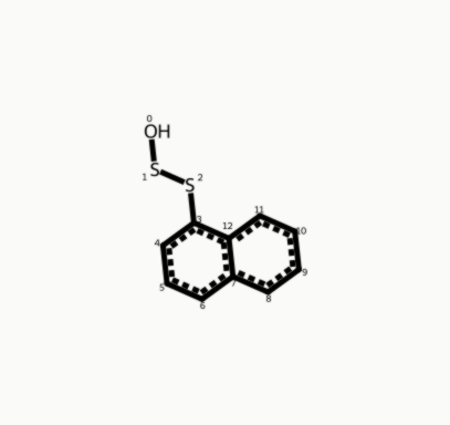 OSSc1cccc2ccccc12